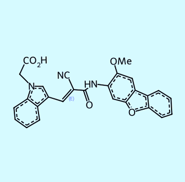 COc1cc2c(cc1NC(=O)/C(C#N)=C/c1cn(CC(=O)O)c3ccccc13)oc1ccccc12